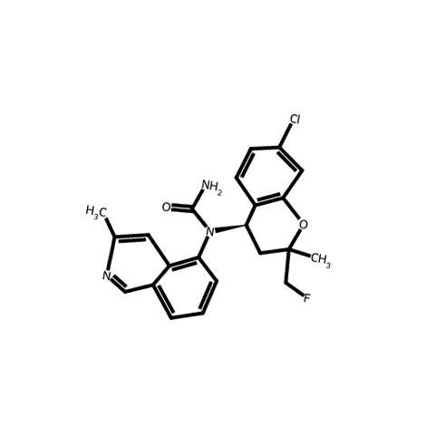 Cc1cc2c(N(C(N)=O)[C@@H]3CC(C)(CF)Oc4cc(Cl)ccc43)cccc2cn1